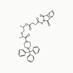 CC(COC(C)C(=O)N1CCN(C(c2ccccc2)(c2ccccc2)c2ccccc2)CC1)OC(=O)CCC(=O)ON1C(=O)C2C3C=CC(C3)C2C1=O